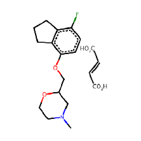 CN1CCOC(COc2ccc(F)c3c2CCC3)C1.O=C(O)C=CC(=O)O